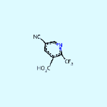 N#Cc1cnc(C(F)(F)F)c(C(=O)O)c1